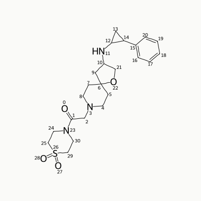 O=C(CN1CCC2(CC1)CC(NC1CC1c1ccccc1)CO2)N1CCS(=O)(=O)CC1